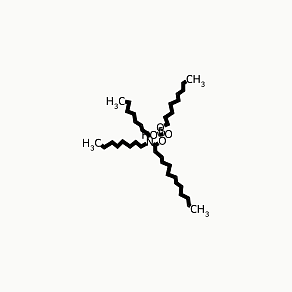 CCCCCCCCCCCCC(OP(=O)(O)OCCCCCCCCC)N(CCCCCCCC)CCCCCCCC